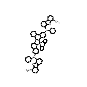 Cc1cccc2c1oc1c(N(c3ccccc3)c3ccc4c5c(ccc4c3)-c3c(c4ccc(N(c6ccccc6)c6cccc7c6oc6c(C)cccc67)cc4c4ccccc34)C53c4ccccc4-c4ccccc43)cccc12